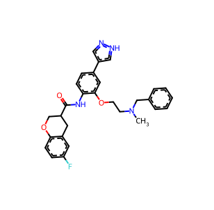 CN(CCOc1cc(-c2cn[nH]c2)ccc1NC(=O)C1COc2ccc(F)cc2C1)Cc1ccccc1